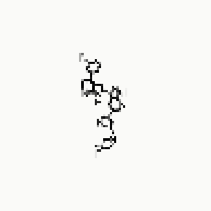 Fc1cccc(-c2ccnc3[nH]c(-c4n[nH]c5ncc(-c6cncc(CN7CCC(F)(F)C7)c6)cc45)cc23)c1